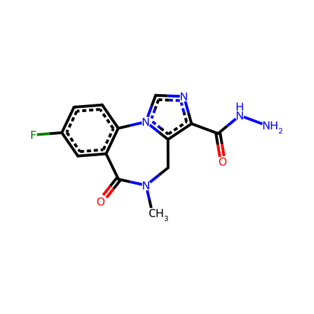 CN1Cc2c(C(=O)NN)ncn2-c2ccc(F)cc2C1=O